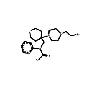 CCC(=O)N(CC1(N2CCN(CCC(C)C)CC2)CCOCC1)c1ccccn1